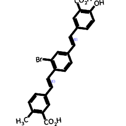 Cc1ccc(/C=C/c2ccc(/C=C/c3ccc(O)c(C(=O)O)c3)cc2Br)cc1C(=O)O